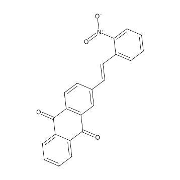 O=C1c2ccccc2C(=O)c2cc(/C=C/c3ccccc3[N+](=O)[O-])ccc21